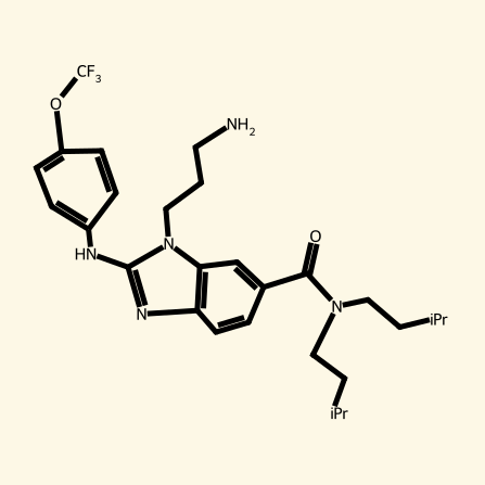 CC(C)CCN(CCC(C)C)C(=O)c1ccc2nc(Nc3ccc(OC(F)(F)F)cc3)n(CCCN)c2c1